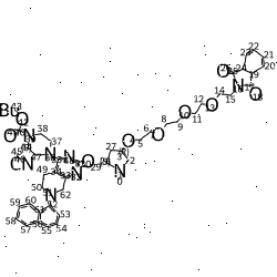 CN1C[C@H](OCCOCCOCCOCCN2C(=O)C3C=CC=CC3C2=O)C[C@H]1COc1nc2c(c(N3CCN(C(=O)OC(C)(C)C)[C@@H](CC#N)C3)n1)CCN(c1cccc3ccccc13)C2